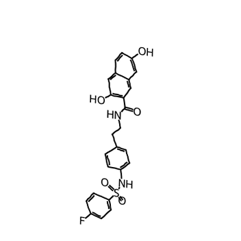 O=C(NCCc1ccc(NS(=O)(=O)c2ccc(F)cc2)cc1)c1cc2cc(O)ccc2cc1O